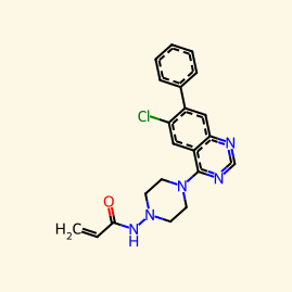 C=CC(=O)NN1CCN(c2ncnc3cc(-c4ccccc4)c(Cl)cc23)CC1